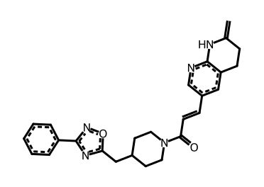 C=C1CCc2cc(/C=C/C(=O)N3CCC(Cc4nc(-c5ccccc5)no4)CC3)cnc2N1